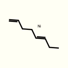 C=CCCC=CCC.[Ni]